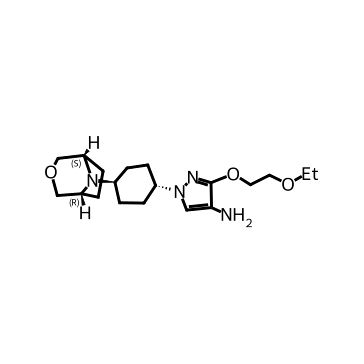 CCOCCOc1nn([C@H]2CC[C@H](N3[C@@H]4CC[C@H]3COC4)CC2)cc1N